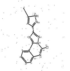 Cc1cc(-c2nc3c4ccccc4nc(Cl)n3n2)n[nH]1